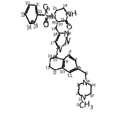 CN1CCN(Cc2ccc3c(c2)CCC[C@H]3n2cc(C[C@@H]3C(=O)NCCN3S(=O)(=O)c3ccccc3)nn2)CC1